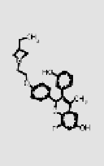 CCC1CN(CCOc2ccc(C3Oc4c(F)cc(O)cc4C(C)=C3c3cccc(O)c3)cc2)C1